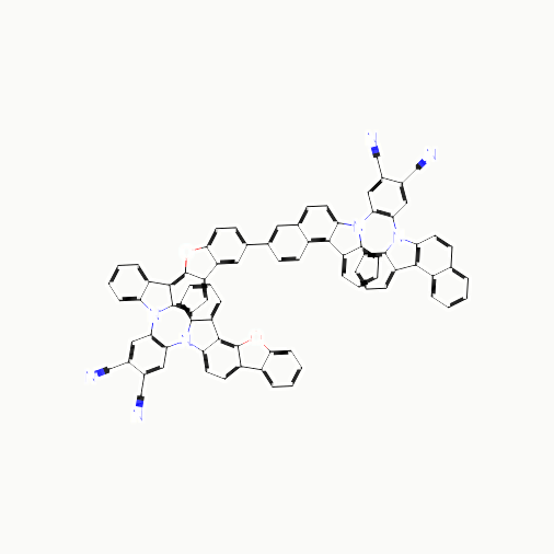 N#Cc1cc(-n2c3ccccc3c3c4ccccc4ccc32)c(-n2c3ccccc3c3c4ccc(-c5ccc6oc7c(ccc8c7c7ccccc7n8-c7cc(C#N)c(C#N)cc7-n7c8ccccc8c8c9oc%10ccccc%10c9ccc87)c6c5)cc4ccc32)cc1C#N